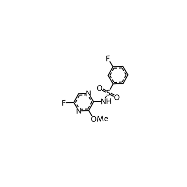 COc1nc(F)cnc1NS(=O)(=O)c1cccc(F)c1